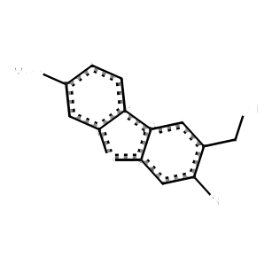 COc1ccc2c(c1)oc1cc([N+](=O)[O-])c(CO)cc12